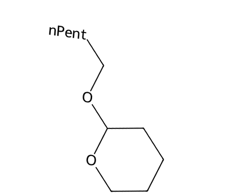 [CH2]CCCCCOC1CCCCO1